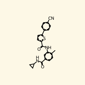 Cc1ccc(C(=O)NC2CC2)cc1NC(=O)c1ccc(-c2ccc(C#N)cc2)s1